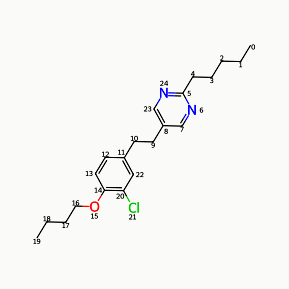 CCCCCc1ncc(CCc2ccc(OCCCC)c(Cl)c2)cn1